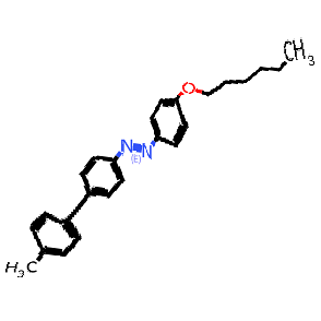 CCCCCCOc1ccc(/N=N/c2ccc(-c3ccc(C)cc3)cc2)cc1